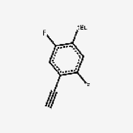 C#Cc1cc(F)c(C(C)(C)C)cc1F